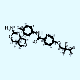 NC1=N[C@@]2(c3cc(NC(=O)c4ccc(OCC(F)(F)C(F)F)cn4)ccc3F)COC[C@@]2(F)CO1